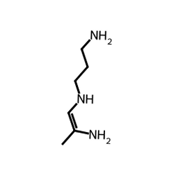 C/C(N)=C/NCCCN